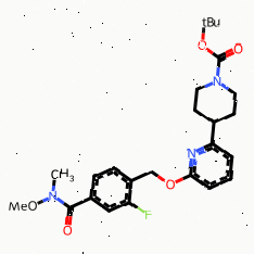 CON(C)C(=O)c1ccc(COc2cccc(C3CCN(C(=O)OC(C)(C)C)CC3)n2)c(F)c1